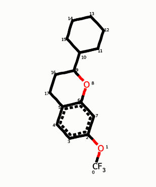 FC(F)(F)Oc1ccc2c(c1)OC(C1CCCCC1)CC2